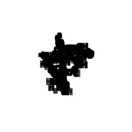 CCOc1ccc(NC(=O)NC(=O)C[C@@H]2NC(=O)[C@H](NC(=O)[C@@H](CC(C)C)NC)[C@H](O)c3ccc(c(Cl)c3)Oc3cc4cc(c3O[C@@H]3O[C@H](CO)[C@@H](O)[C@H](O)[C@H]3O[C@H]3C[C@](C)(N)[C@H](O)[C@H](C)O3)Oc3ccc(cc3Cl)[C@@H](O)[C@@H]3NC(=O)[C@H](NC(=O)[C@@H]4NC2=O)c2ccc(O)c(c2)-c2c(O)cc(O)cc2[C@@H](C(=O)NC2C4CC5CC(C4)CC2C5)NC3=O)cc1